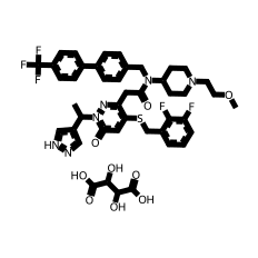 COCCN1CCC(N(Cc2ccc(-c3ccc(C(F)(F)F)cc3)cc2)C(=O)Cc2nn(C(C)c3cn[nH]c3)c(=O)cc2SCc2cccc(F)c2F)CC1.O=C(O)C(O)C(O)C(=O)O